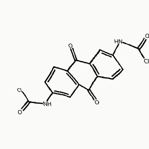 O=C(Cl)Nc1ccc2c(c1)C(=O)c1ccc(NC(=O)Cl)cc1C2=O